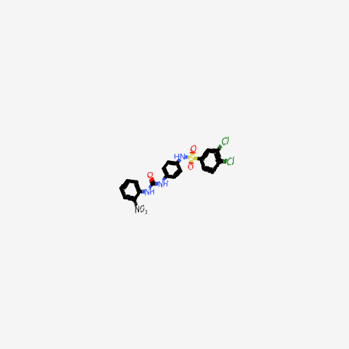 O=C(Nc1ccc(NS(=O)(=O)c2ccc(Cl)c(Cl)c2)cc1)Nc1ccccc1[N+](=O)[O-]